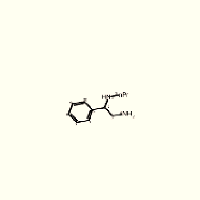 CCCN[C](CN)c1ccccc1